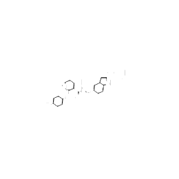 CCOC(=O)c1cc2cc(CNC(=O)c3cccnc3Oc3ccc(F)cc3)ccc2[nH]1